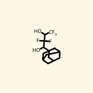 OC(C(F)(F)F)C(F)(F)C(O)C12CC3CC(CC(C3)C1)C2